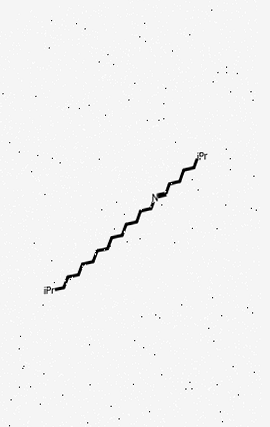 CC(C)CCCCC=NCCCCCCCCCCCCCC(C)C